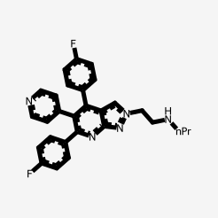 CCCNCCn1cc2c(-c3ccc(F)cc3)c(-c3ccncc3)c(-c3ccc(F)cc3)nc2n1